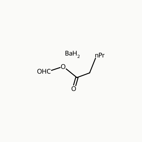 CCCCC(=O)OC=O.[BaH2]